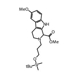 COC(=O)C1c2[nH]c3ccc(OC)cc3c2CCN1CCCO[Si](C)(C)C(C)(C)C